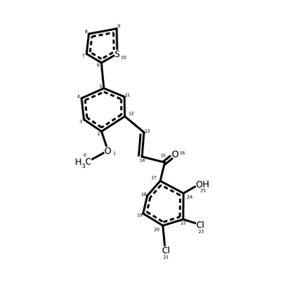 COc1ccc(-c2cccs2)cc1C=CC(=O)c1ccc(Cl)c(Cl)c1O